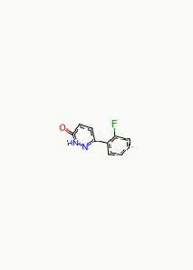 O=c1ccc(-c2cc[c]cc2F)n[nH]1